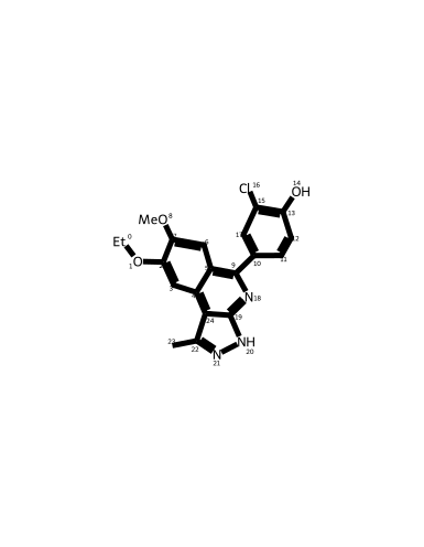 CCOc1cc2c(cc1OC)c(-c1ccc(O)c(Cl)c1)nc1[nH]nc(C)c12